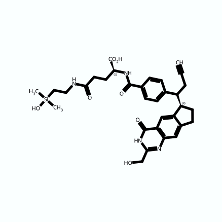 C#CCC(c1ccc(C(=O)N[C@@H](CCC(=O)NCC[Si](C)(C)O)C(=O)O)cc1)[C@H]1CCc2cc3nc(CO)[nH]c(=O)c3cc21